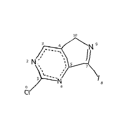 Clc1ncc2c(n1)C(I)=NC2